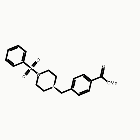 COC(=O)c1ccc(CN2CCN(S(=O)(=O)c3ccccc3)CC2)cc1